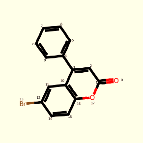 O=c1cc(-c2ccccc2)c2cc(Br)ccc2o1